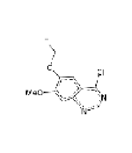 COc1cc2ncnc(Cl)c2cc1OCF